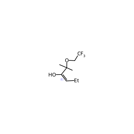 CC/C=C(/O)C(C)(C)OCC(F)(F)F